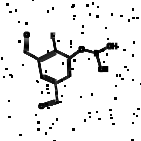 O=Cc1cc(C=O)c(F)c(OB(O)O)c1